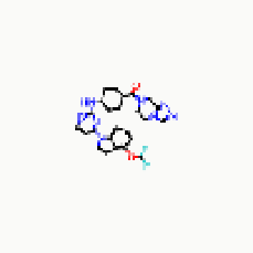 O=C(C1CCC(Nc2nccc(-n3ccc4c(OC(F)F)cccc43)n2)CC1)N1CCn2cnnc2C1